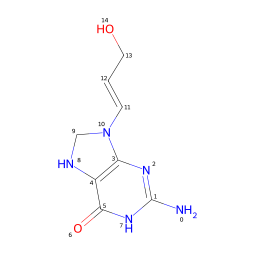 Nc1nc2c(c(=O)[nH]1)NCN2C=CCO